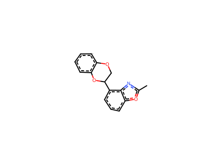 Cc1nc2c(C3COc4[c]cccc4O3)cccc2o1